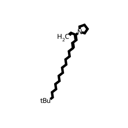 C=CC(=CC=CCCCCCCCCCCCCC(C)(C)C)N1CCCC1